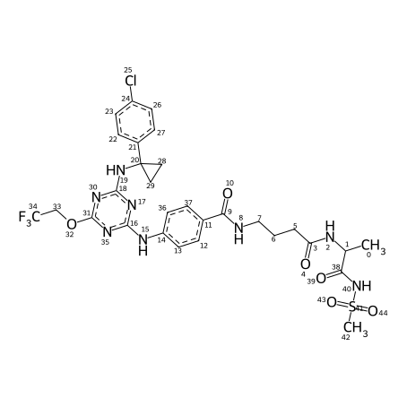 CC(NC(=O)CCCNC(=O)c1ccc(Nc2nc(NC3(c4ccc(Cl)cc4)CC3)nc(OCC(F)(F)F)n2)cc1)C(=O)NS(C)(=O)=O